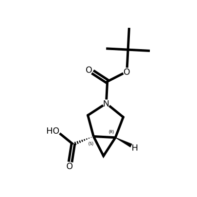 CC(C)(C)OC(=O)N1C[C@@H]2C[C@@]2(C(=O)O)C1